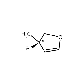 CC(C)[C@]1(C)C=COC1